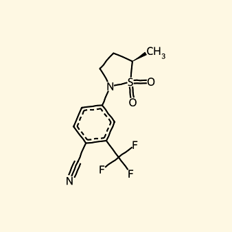 C[C@@H]1CCN(c2ccc(C#N)c(C(F)(F)F)c2)S1(=O)=O